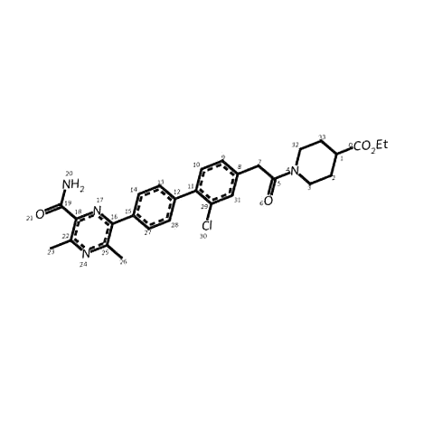 CCOC(=O)C1CCN(C(=O)Cc2ccc(-c3ccc(-c4nc(C(N)=O)c(C)nc4C)cc3)c(Cl)c2)CC1